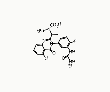 CCNC(=O)Nc1cc(-n2c(C(C)N(C(=O)O)C(C)(C)C)nc3cccc(Cl)c3c2=O)ccc1F